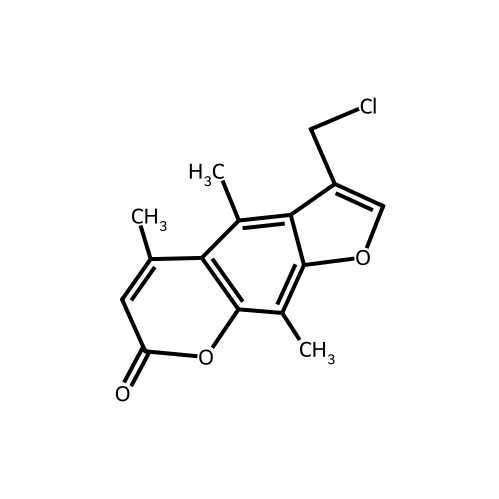 Cc1c2oc(=O)cc(C)c2c(C)c2c(CCl)coc12